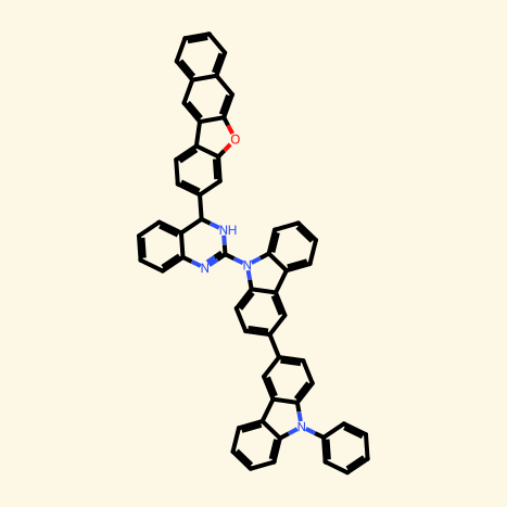 c1ccc(-n2c3ccccc3c3cc(-c4ccc5c(c4)c4ccccc4n5C4=Nc5ccccc5C(c5ccc6c(c5)oc5cc7ccccc7cc56)N4)ccc32)cc1